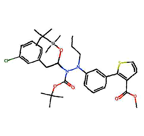 CCCN(c1cccc(-c2sccc2C(=O)OC)c1)N(C(=O)OC(C)(C)C)C(Cc1cccc(Cl)c1)O[Si](C)(C)C(C)(C)C